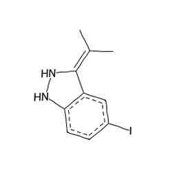 CC(C)=C1NNc2ccc(I)cc21